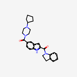 O=C(c1ccc2[nH]c(C(=O)N3CCc4ccccc43)cc2c1)N1CCN(C2CCCC2)CC1